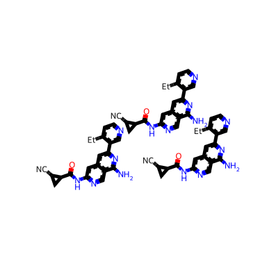 CCc1ccncc1-c1cc2cc(NC(=O)C3CC3C#N)ncc2c(N)n1.CCc1ccncc1-c1cc2cc(NC(=O)C3CC3C#N)ncc2c(N)n1.CCc1ccncc1-c1cc2cc(NC(=O)C3CC3C#N)ncc2c(N)n1